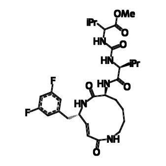 COC(=O)C(NC(=O)N[C@H](C(=O)N[C@H]1CCCCNC(=O)/C=C/[C@H](Cc2cc(F)cc(F)c2)NC1=O)C(C)C)C(C)C